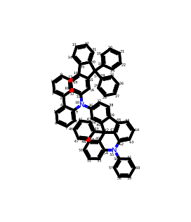 c1ccc(-c2ccccc2N(c2ccc3c(c2)C(c2ccccc2)(c2ccccc2)c2ccccc2-3)c2ccc3c(c2)C2(c4ccccc4)c4ccccc4N(c4ccccc4)c4cccc-3c42)cc1